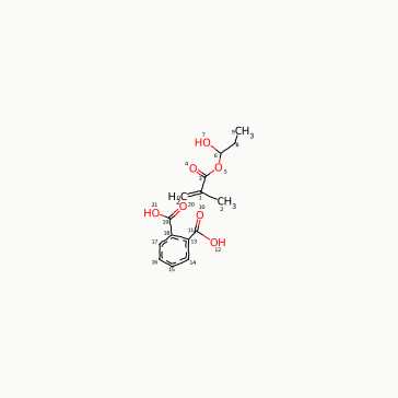 C=C(C)C(=O)OC(O)CC.O=C(O)c1ccccc1C(=O)O